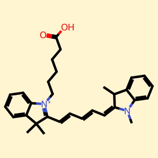 CC1\C(=C/C=C/C=C/C2=[N+](CCCCCC(=O)O)c3ccccc3C2(C)C)N(C)c2ccccc21